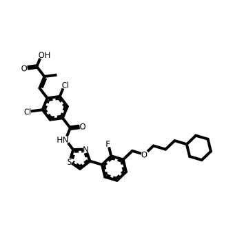 CC(=Cc1c(Cl)cc(C(=O)Nc2nc(-c3cccc(COCCCC4CCCCC4)c3F)cs2)cc1Cl)C(=O)O